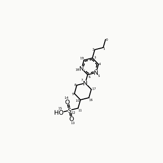 CCCc1cnc(N2CCC(CS(=O)(=O)O)CC2)nc1